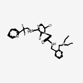 CCN(CC)Cc1ccccc1CNC(=O)Cn1c(Cl)cnc(NCC(F)(F)c2ccccn2)c1=O